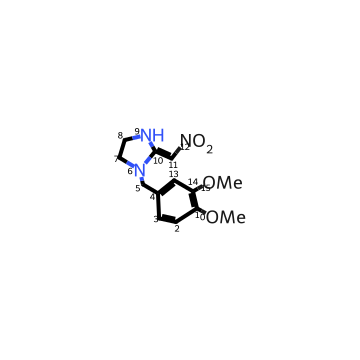 COc1ccc(CN2CCNC2=C[N+](=O)[O-])cc1OC